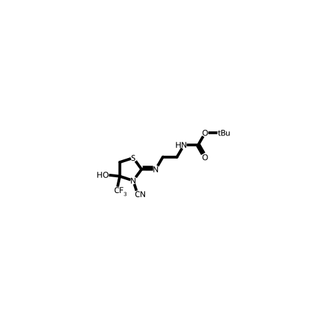 CC(C)(C)OC(=O)NCC/N=C1\SCC(O)(C(F)(F)F)N1C#N